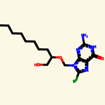 CCCCCCCCC(CO)OCn1c(Br)nc2c(=O)[nH]c(N)nc21